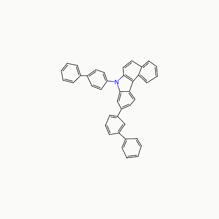 c1ccc(-c2ccc(-n3c4cc(-c5cccc(-c6ccccc6)c5)ccc4c4c5ccccc5ccc43)cc2)cc1